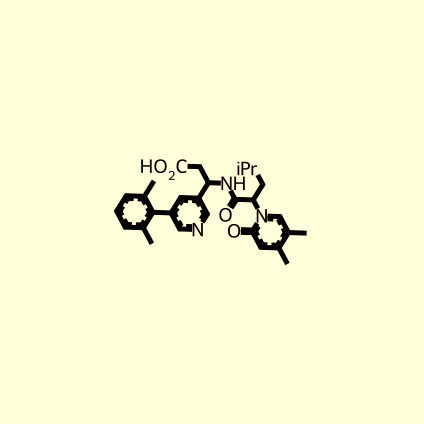 Cc1cc(=O)n(C(CC(C)C)C(=O)NC(CC(=O)O)c2cncc(-c3c(C)cccc3C)c2)cc1C